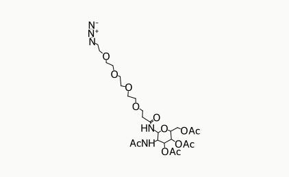 CC(=O)NC1C(NC(=O)CCOCCOCCOCCOCCN=[N+]=[N-])OC(COC(C)=O)C(OC(C)=O)C1OC(C)=O